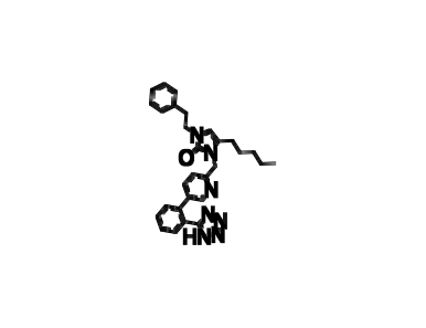 CCCCCc1cn(CCc2ccccc2)c(=O)n1Cc1ccc(-c2ccccc2-c2nnn[nH]2)cn1